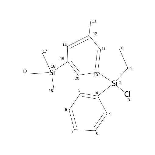 CC[Si](Cl)(c1ccccc1)c1cc(C)cc([Si](C)(C)C)c1